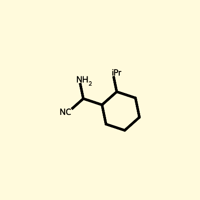 CC(C)C1CCCCC1C(N)C#N